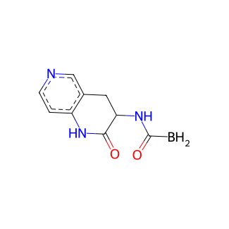 BC(=O)NC1Cc2cnccc2NC1=O